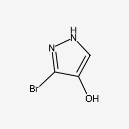 Oc1c[nH]nc1Br